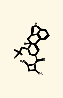 CC1CC(C)N1C(=O)[C@@H]1C=C2c3cccc4[nH]cc(c34)C[C@H]2N(CC(F)(F)F)C1